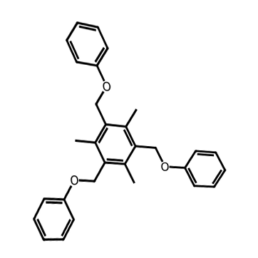 Cc1c(COc2ccccc2)c(C)c(COc2ccccc2)c(C)c1COc1ccccc1